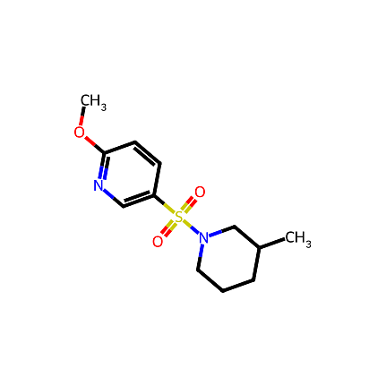 COc1ccc(S(=O)(=O)N2CCCC(C)C2)cn1